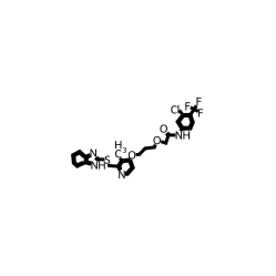 Cc1c(OCCCOCC(=O)Nc2ccc(C(F)(F)F)c(Cl)c2)ccnc1CSc1nc2ccccc2[nH]1